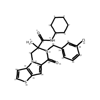 CC1(C(=O)NC2CCCCC2)Cn2c(cc3sccc32)C(=O)N1Cc1cccc(Cl)c1